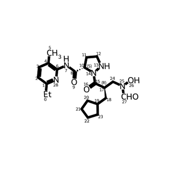 CCc1ccc(C)c(NC(=O)[C@@H]2CCNN2C(=O)[C@H](CC2CCCC2)CN(O)C=O)n1